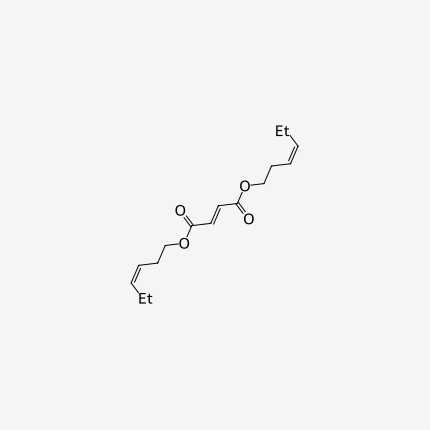 CC/C=C\CCOC(=O)/C=C/C(=O)OCC/C=C\CC